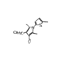 Cc1ccc(-n2c(C)c(Cl)c(C=O)c2C)s1